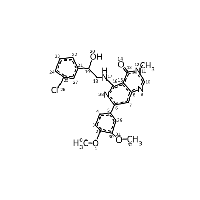 COc1ccc(-c2cc3ncn(C)c(=O)c3c(NCC(O)c3cccc(Cl)c3)n2)cc1OC